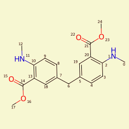 CNc1ccc(Cc2ccc(NC)c(C(=O)OC)c2)cc1C(=O)OC